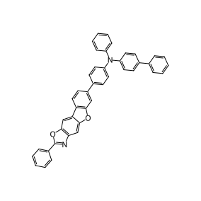 c1ccc(-c2ccc(N(c3ccccc3)c3ccc(-c4ccc5c(c4)oc4cc6nc(-c7ccccc7)oc6cc45)cc3)cc2)cc1